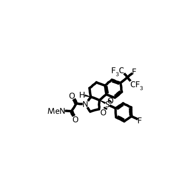 CNC(=O)C(=O)N1CC[C@@]2(S(=O)(=O)c3ccc(F)cc3)c3ccc(C(F)(C(F)(F)F)C(F)(F)F)cc3CC[C@@H]12